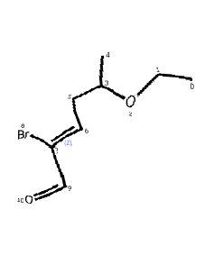 CCOC(C)C/C=C(\Br)C=O